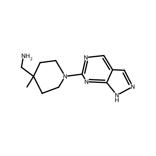 CC1(CN)CCN(c2ncc3[c]n[nH]c3n2)CC1